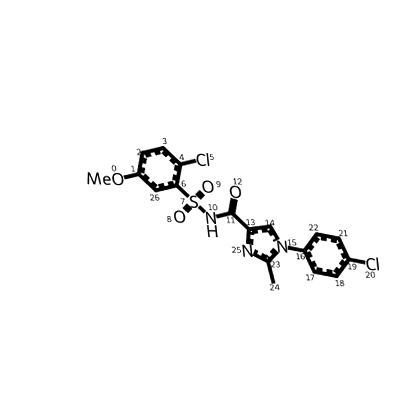 COc1ccc(Cl)c(S(=O)(=O)NC(=O)c2cn(-c3ccc(Cl)cc3)c(C)n2)c1